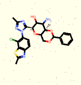 Cc1nc([C@@H]2OC3COC(c4ccccc4)O[C@@H]3C(N)C2O)n(-c2ccc3nc(C)sc3c2Cl)n1